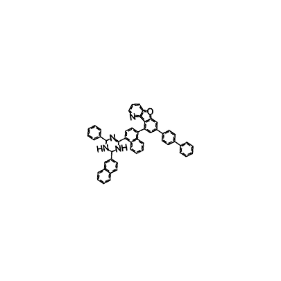 c1ccc(-c2ccc(-c3cc(-c4ccc(C5=NC(c6ccccc6)NC(c6ccc7ccccc7c6)N5)c5ccccc45)c4c(c3)oc3cccnc34)cc2)cc1